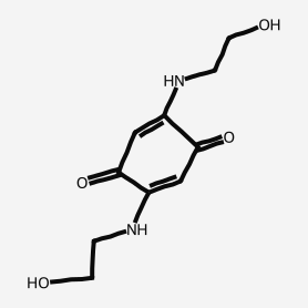 O=C1C=C(NCCO)C(=O)C=C1NCCO